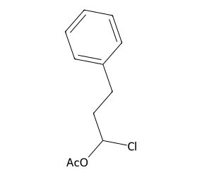 CC(=O)OC(Cl)CCc1ccccc1